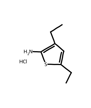 CCc1cc(CC)c(N)s1.Cl